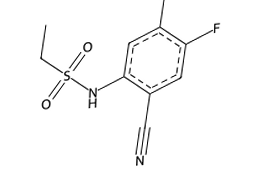 CCS(=O)(=O)Nc1cc(F)c(F)cc1C#N